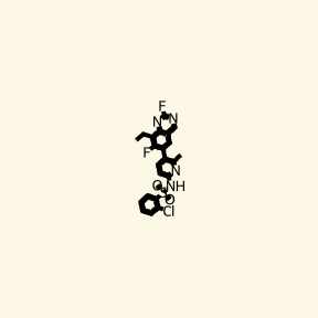 CCc1c(F)c(-c2ccc(NS(=O)(=O)c3ccccc3Cl)nc2C)cc2cnc(F)nc12